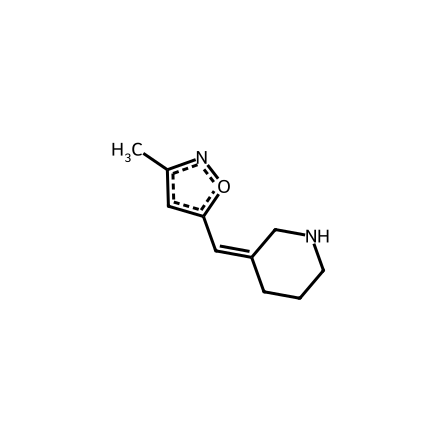 Cc1cc(C=C2CCCNC2)on1